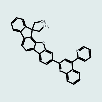 CCC1(CC)c2ccccc2-c2ccc3c(oc4cc(-c5cc(-c6ccccn6)c6ccccc6n5)ccc43)c21